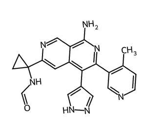 Cc1ccncc1-c1nc(N)c2cnc(C3(NC=O)CC3)cc2c1-c1cn[nH]c1